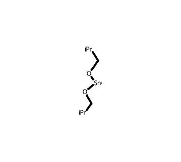 CC(C)C[O][Sn][O]CC(C)C